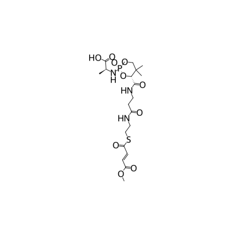 COC(=O)/C=C/C(=O)SCCNC(=O)CCNC(=O)[C@@H]1OP(=O)(N[C@@H](C)C(=O)O)OCC1(C)C